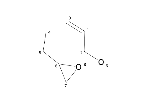 C=CC[O].CCC1CO1